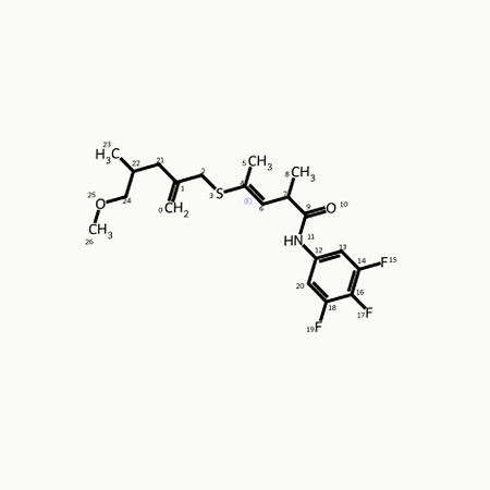 C=C(CS/C(C)=C/C(C)C(=O)Nc1cc(F)c(F)c(F)c1)CC(C)COC